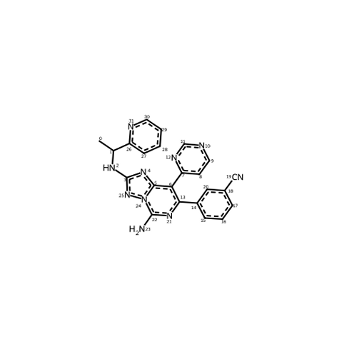 CC(Nc1nc2c(-c3ccncn3)c(-c3cccc(C#N)c3)nc(N)n2n1)c1ccccn1